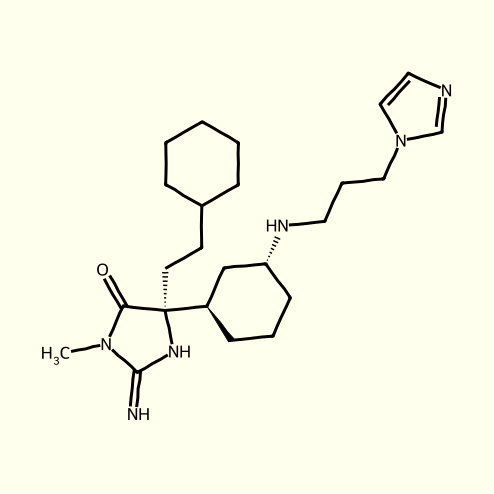 CN1C(=N)N[C@](CCC2CCCCC2)([C@@H]2CCC[C@@H](NCCCn3ccnc3)C2)C1=O